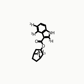 [2H]c1ccc2[nH]c([2H])c(C(=O)OC3CC4CCC(C3)N4C)c2c1[2H]